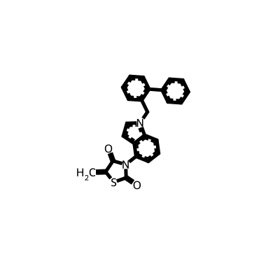 C=C1SC(=O)N(c2cccc3c2ccn3Cc2ccccc2-c2ccccc2)C1=O